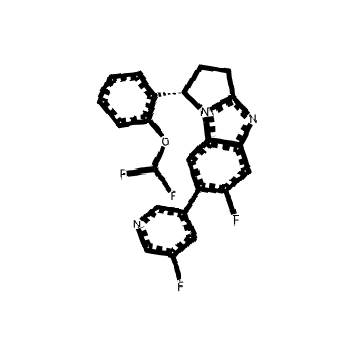 Fc1cncc(-c2cc3c(cc2F)nc2n3[C@H](c3ccccc3OC(F)F)CC2)c1